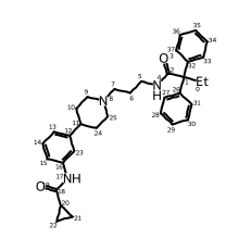 CCC(C(=O)NCCCN1CCC(c2cccc(NC(=O)C3CC3)c2)CC1)(c1ccccc1)c1ccccc1